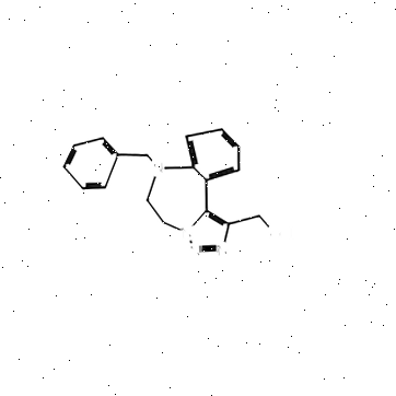 OCc1nnn2c1-c1ccccc1N(Cc1ccccc1)CC2